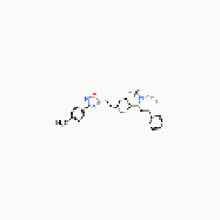 Cc1ccc(-c2noc(CCC3CCC(C(CCc4ccccc4)N(C)C)CC3)n2)cc1